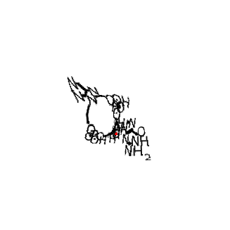 Nc1nc2c(ncn2[C@@H]2O[C@@H]3COP(=O)(O)OCCCn4c(nc5cncnc54)COP(=O)(O)O[C@@H]2[C@@H]3O)c(=O)[nH]1